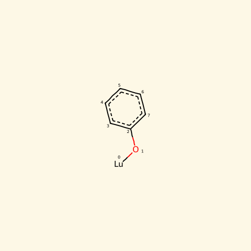 [Lu][O]c1ccccc1